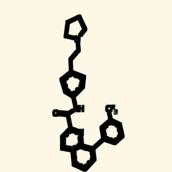 O=C(Nc1ccc(CCN2CCCC2)cc1)c1ccc2cccc(-c3cccc(C(F)(F)F)c3)c2n1